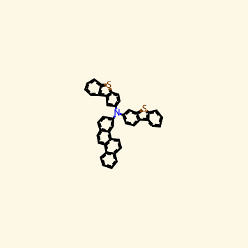 c1ccc2c(c1)ccc1c3cc(N(c4ccc5c(c4)sc4ccccc45)c4ccc5sc6ccccc6c5c4)ccc3ccc21